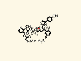 CNCC(=O)OCc1cccnc1N(C)C(=O)OC(C)[n+]1cnn(C[C@](O)(c2cc(F)ccc2F)[C@@H](C)c2nc(-c3ccc(C#N)cc3)cs2)c1.S